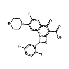 O=C(O)c1c2n(c3cc(N4CCNCC4)c(F)cc3c1=O)C(c1cc(F)ccc1F)S2